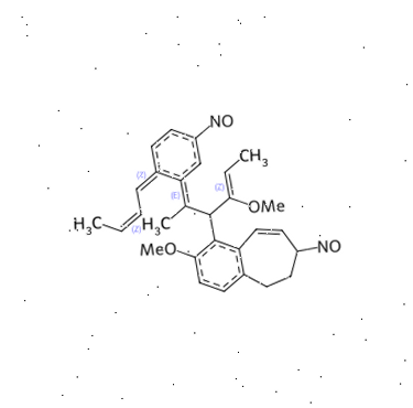 C\C=C/C=c1/ccc(N=O)c/c1=C(/C)C(/C(=C/C)OC)c1c(OC)ccc2c1C=CC(N=O)CC2